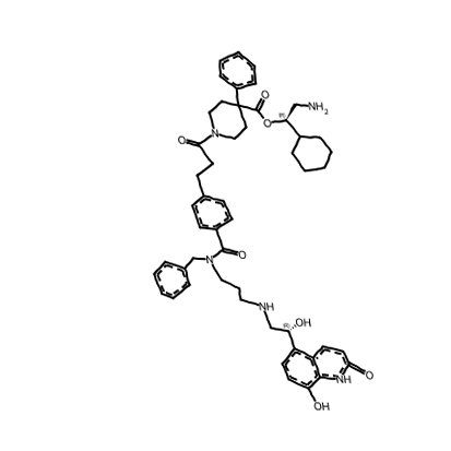 NC[C@H](OC(=O)C1(c2ccccc2)CCN(C(=O)CCc2ccc(C(=O)N(CCCNC[C@H](O)c3ccc(O)c4[nH]c(=O)ccc34)Cc3ccccc3)cc2)CC1)C1CCCCC1